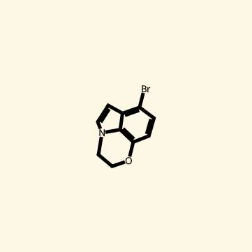 Brc1ccc2c3c1ccn3CCO2